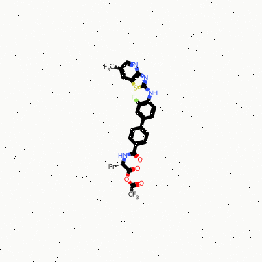 CC(C)[C@H](NC(=O)c1ccc(-c2ccc(Nc3nc4ncc(C(F)(F)F)cc4s3)c(F)c2)cc1)C(=O)OC(=O)C(F)(F)F